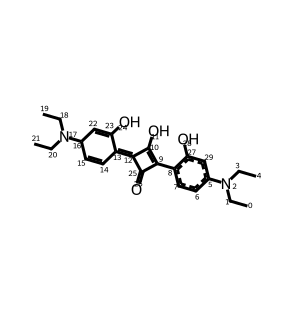 CCN(CC)c1ccc(C2=C(O)/C(=C3/C=CC(N(CC)CC)C=C3O)C2=O)c(O)c1